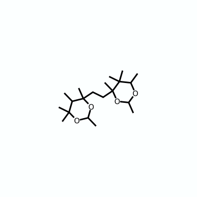 CC1OC(C)(C)C(C)C(C)(CCC2(C)OC(C)OC(C)C2(C)C)O1